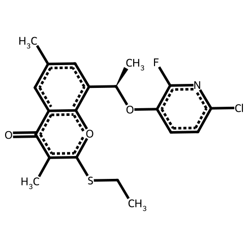 CCSc1oc2c([C@@H](C)Oc3ccc(Cl)nc3F)cc(C)cc2c(=O)c1C